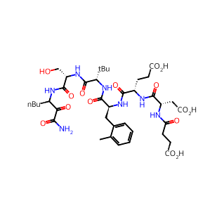 CCCCC(NC(=O)[C@H](CO)NC(=O)[C@@H](NC(=O)[C@H](Cc1ccccc1C)NC(=O)[C@H](CCC(=O)O)NC(=O)[C@H](CC(=O)O)NC(=O)CCC(=O)O)C(C)(C)C)C(=O)C(N)=O